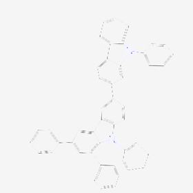 C1=CC(n2c3ccc(-c4ccc5c6ccccc6n(-c6ccccc6)c5c4)cc3c3cc(-c4ccccc4)cc(-c4ccccc4)c32)=CCC1